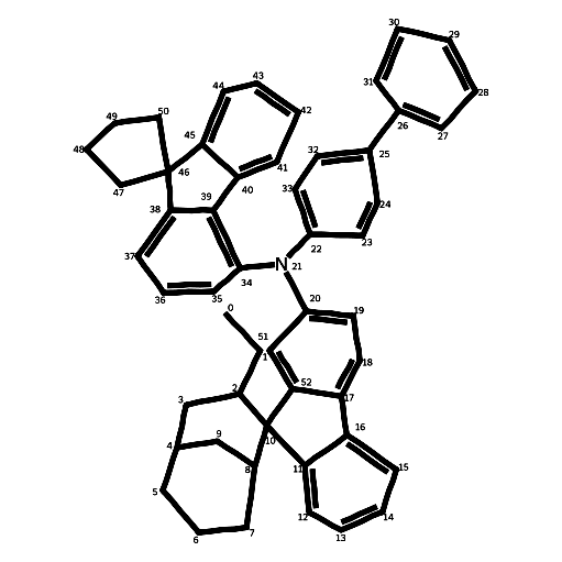 CCC1CC2CCCC(C2)C12c1ccccc1-c1ccc(N(c3ccc(-c4ccccc4)cc3)c3cccc4c3-c3ccccc3C43CCCC3)cc12